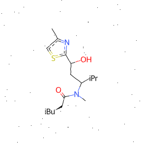 CC[C@H](C)CC(=O)N(C)C(CC(O)c1nc(C)cs1)C(C)C